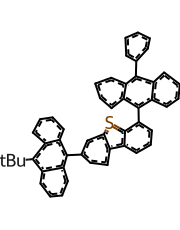 CC(C)(C)c1c2ccccc2c(-c2ccc3c(c2)sc2c(-c4c5ccccc5c(-c5ccccc5)c5ccccc45)cccc23)c2ccccc12